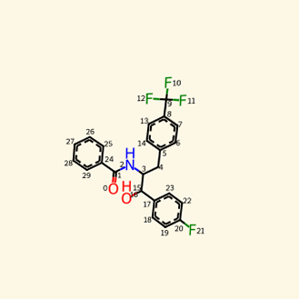 O=C(NC(Cc1ccc(C(F)(F)F)cc1)C(O)c1ccc(F)cc1)c1ccccc1